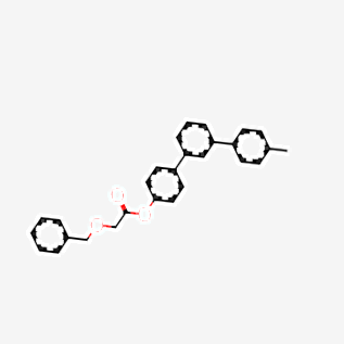 Cc1ccc(-c2cccc(-c3ccc(OC(=O)COCc4ccccc4)cc3)c2)cc1